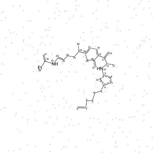 C=CCCCCc1ccc(NC(C)C(=C)C2=CC=C(C(C)CC/C=C/NC(=C)CC)CC2=C)s1